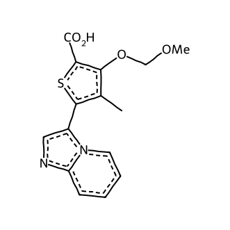 COCOc1c(C(=O)O)sc(-c2cnc3ccccn23)c1C